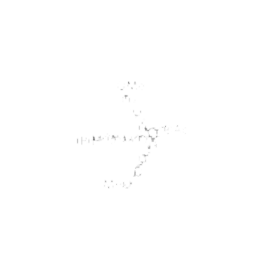 COCCOCCOCCOc1cc(COC(C)=O)cc(OCCOCCOCCOC)c1OCCOCCOCCOC(C)(C)C